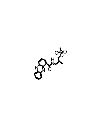 CC(CNC(=O)c1cccc2nc3ccccc3nc12)COS(C)(=O)=O